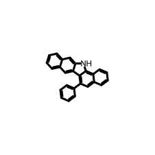 c1ccc(-c2cc3ccccc3c3[nH]c4cc5ccccc5cc4c23)cc1